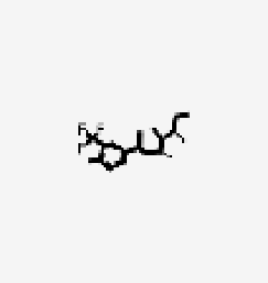 C=C(C[C@H](C)C(C)[C@H](C)CC)c1ccc(C)c(C(F)(F)F)c1